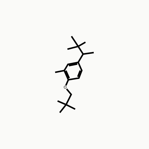 Cc1cc(C(C)C(C)(C)C)ccc1OCC(C)(C)C